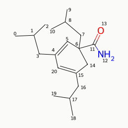 CC(C)CC1=CC(CC(C)C)(C(N)=O)CC(CC(C)C)=C1